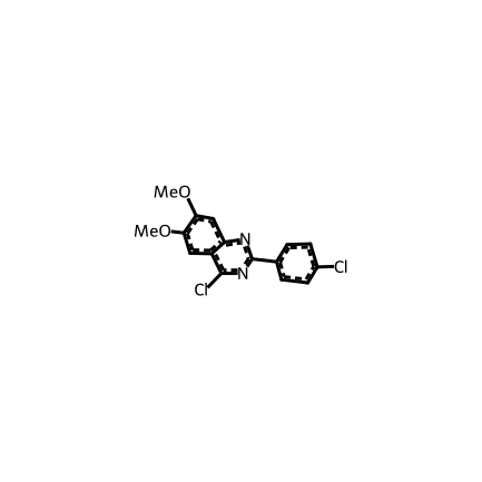 COc1cc2nc(-c3ccc(Cl)cc3)nc(Cl)c2cc1OC